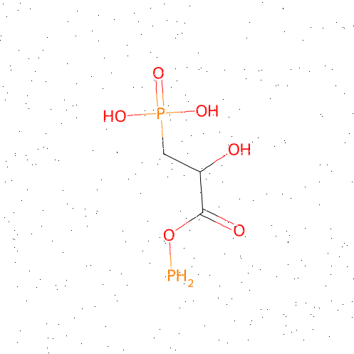 O=C(OP)C(O)CP(=O)(O)O